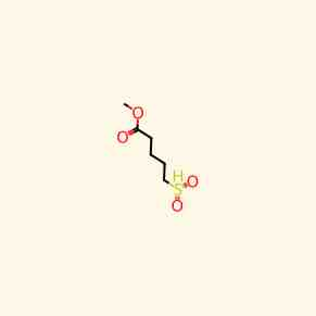 COC(=O)CCCC[SH](=O)=O